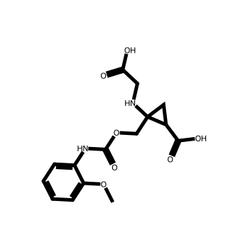 COc1ccccc1NC(=O)OCC1(NCC(=O)O)CC1C(=O)O